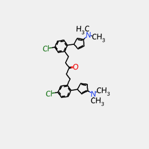 CN(C)C1=CC(c2ccc(Cl)cc2CCC(=O)CCc2cc(Cl)ccc2C2C=CC(N(C)C)=C2)C=C1